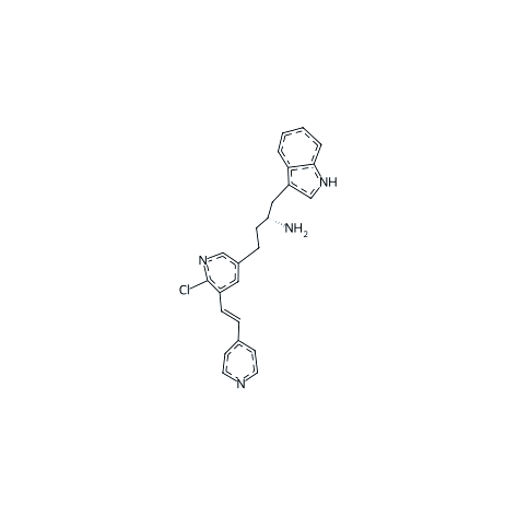 N[C@H](CCc1cnc(Cl)c(C=Cc2ccncc2)c1)Cc1c[nH]c2ccccc12